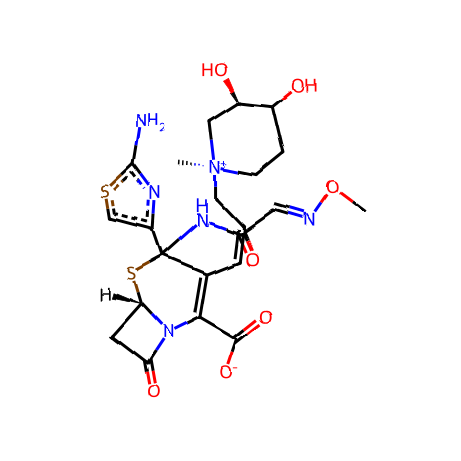 CON=CC(=O)NC1(c2csc(N)n2)S[C@H]2CC(=O)N2C(C(=O)[O-])=C1/C=C\C[N@+]1(C)CCC(O)[C@H](O)C1